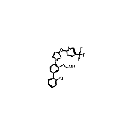 OCCc1cc(-c2ccccc2Cl)ccc1N1CCC(Oc2ccc(C(F)(F)F)cn2)C1